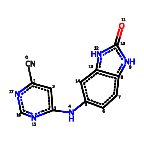 N#Cc1cc(Nc2ccc3[nH]c(=O)[nH]c3c2)ncn1